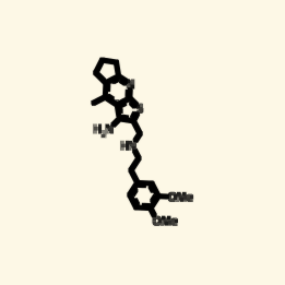 COc1ccc(CCNCc2sc3nc4c(c(C)c3c2N)CCC4)cc1OC